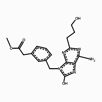 COC(=O)Cc1cccc(Cn2c(O)nc3c(N)nc(CCCO)nc32)c1